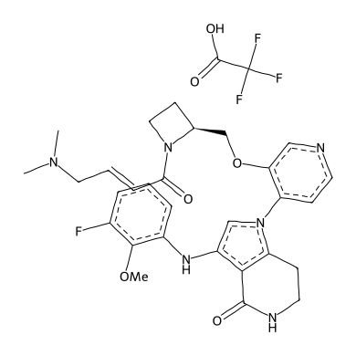 COc1c(F)cccc1Nc1cn(-c2ccncc2OC[C@@H]2CCN2C(=O)/C=C/CN(C)C)c2c1C(=O)NCC2.O=C(O)C(F)(F)F